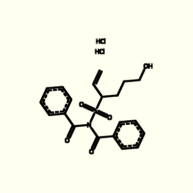 C=CC(CCCO)S(=O)(=O)N(C(=O)c1ccccc1)C(=O)c1ccccc1.Cl.Cl